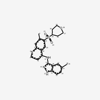 Cc1cc2nccc(Nc3n[nH]c4ccc(F)cc34)c2cc1S(=O)(=O)C1CCOCC1